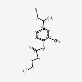 CCCCC(=O)Oc1ccc(C(C)CI)cc1C